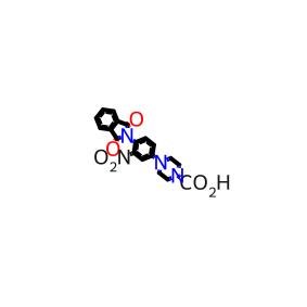 O=C(O)N1CCN(c2ccc(N3C(=O)c4ccccc4C3=O)c([N+](=O)[O-])c2)CC1